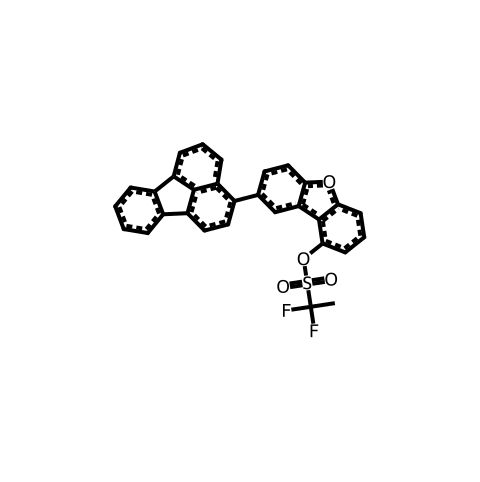 CC(F)(F)S(=O)(=O)Oc1cccc2oc3ccc(-c4ccc5c6c(cccc46)-c4ccccc4-5)cc3c12